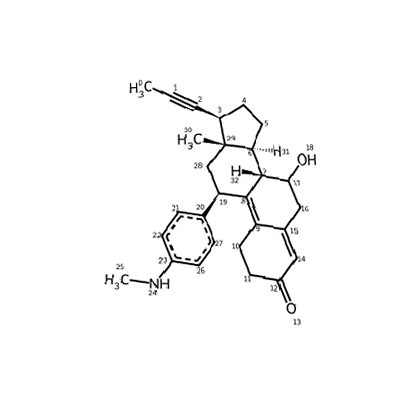 CC#C[C@H]1CC[C@H]2[C@H]3C(=C4CCC(=O)C=C4CC3O)[C@@H](c3ccc(NC)cc3)C[C@]12C